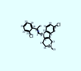 C/C(=C\n1c2c(c3cc(Cl)ccc31)CN(C)CC2)c1ccccc1Cl